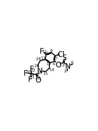 CN(C)C(=S)Oc1c(Cl)cc(F)c2c1CCN(C(=O)C(F)(F)F)CC2